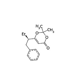 CC[C@H](Cc1ccccc1)C1=CC(=O)OC(C)(C)O1